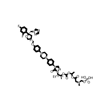 CC[C@@H]([C@H](C)OC(=O)OC(C)OC(=O)CN(C)COP(=O)(O)O)n1ncn(-c2ccc(N3CCN(c4ccc(OC[C@@H]5CO[C@@](Cn6cncn6)(c6ccc(F)cc6F)C5)cc4)CC3)cc2)c1=O